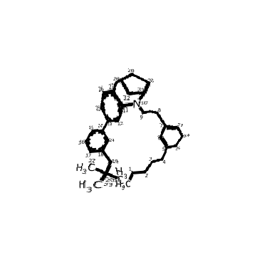 CCCCCC1=CC(CCN2c3cc(-c4cccc(CC(C)(C)C)c4)ccc3C3CCC2C3)=CCC1